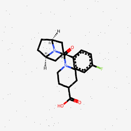 O=C(O)C1CCN(C(=O)N2[C@@H]3CC[C@H]2C[C@@H](c2ccc(F)cc2)C3)CC1